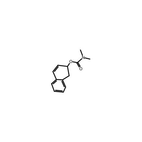 CN(C)C(=O)OC1C=Cc2ccccc2C1